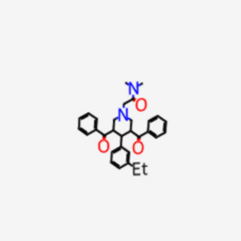 CCc1cccc(C2C(C(=O)c3ccccc3)CN(CC(=O)N(C)C)CC2C(=O)c2ccccc2)c1